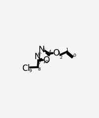 C=CCOc1nnc(CCl)o1